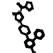 N#Cc1ccc(N2CCN([C@@H]3CN[C@H](C(=O)N4CCSC4)C3)CC2)c(-c2ccccn2)c1